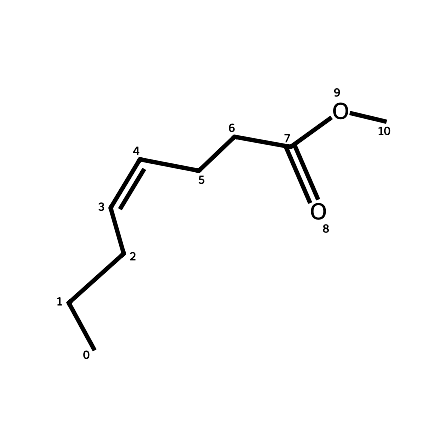 CCC/C=C\CCC(=O)OC